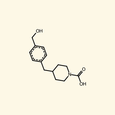 O=C(O)N1CCC(Cc2ccc(CO)cc2)CC1